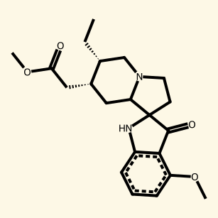 CC[C@@H]1CN2CCC3(Nc4cccc(OC)c4C3=O)C2C[C@@H]1CC(=O)OC